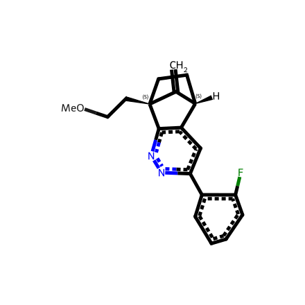 C=C1[C@@H]2CC[C@@]1(CCOC)c1nnc(-c3ccccc3F)cc12